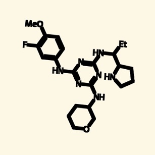 CCC(Nc1nc(Nc2ccc(OC)c(F)c2)nc(NC2CCCOC2)n1)C1CCCN1